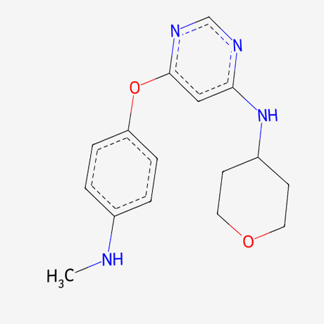 CNc1ccc(Oc2cc(NC3CCOCC3)ncn2)cc1